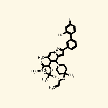 C=CCOC1(C)CCN(c2c(C(OC(C)(C)C)C(=O)OC)c(C)cn3nc(-c4cccc(-c5ccc(F)cc5O)c4)cc23)CC1